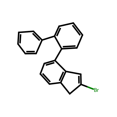 BrC1=Cc2c(cccc2-c2ccccc2-c2ccccc2)C1